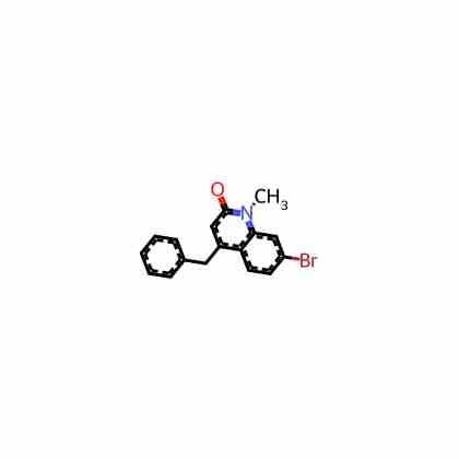 Cn1c(=O)cc(Cc2ccccc2)c2ccc(Br)cc21